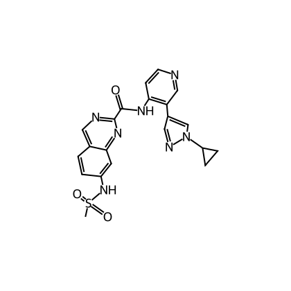 CS(=O)(=O)Nc1ccc2cnc(C(=O)Nc3ccncc3-c3cnn(C4CC4)c3)nc2c1